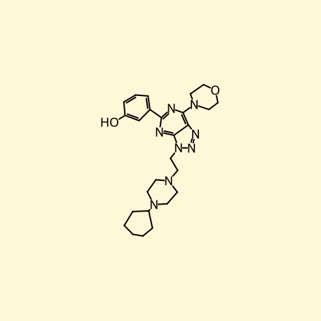 Oc1cccc(-c2nc(N3CCOCC3)c3nnn(CCN4CCN(C5CCCCC5)CC4)c3n2)c1